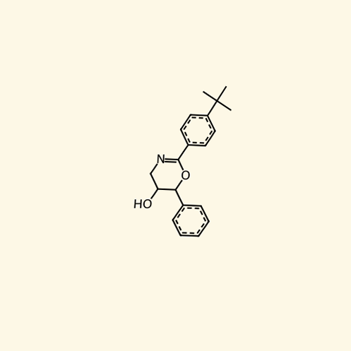 CC(C)(C)c1ccc(C2=NCC(O)C(c3ccccc3)O2)cc1